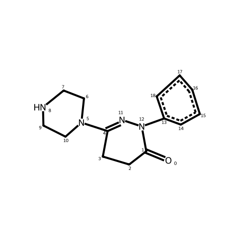 O=C1CCC(N2CCNCC2)=NN1c1ccccc1